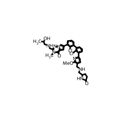 COc1nc(-c2cccc(-c3cccc(-c4cc5c(=O)n(C)c(CNCC(C)O)nn5c4)c3Cl)c2Cl)ccc1CNCC1CCC(=O)N1